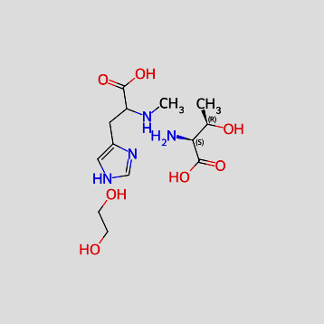 CNC(Cc1c[nH]cn1)C(=O)O.C[C@@H](O)[C@H](N)C(=O)O.OCCO